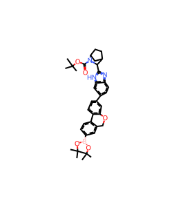 CC(C)(C)OC(=O)N1C2CCC(C2)C1c1nc2ccc(-c3ccc4c(c3)OCc3cc(B5OC(C)(C)C(C)(C)O5)ccc3-4)cc2[nH]1